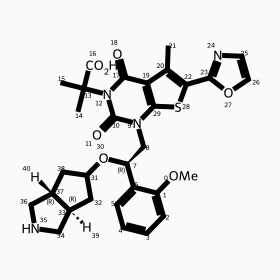 COc1ccccc1[C@H](Cn1c(=O)n(C(C)(C)C(=O)O)c(=O)c2c(C)c(-c3ncco3)sc21)OC1C[C@H]2CNC[C@@H]2C1